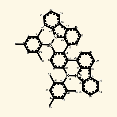 Cc1cc(C)c(B2c3ccc4c(c3-c3cccc5c6ccccc6n2c35)-c2cccc3c5ccccc5n(c23)B4c2c(C)cc(C)cc2C)c(C)c1